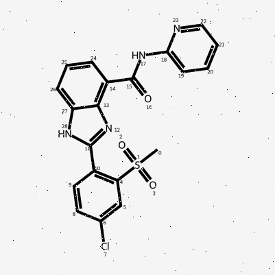 CS(=O)(=O)c1cc(Cl)ccc1-c1nc2c(C(=O)Nc3ccccn3)cccc2[nH]1